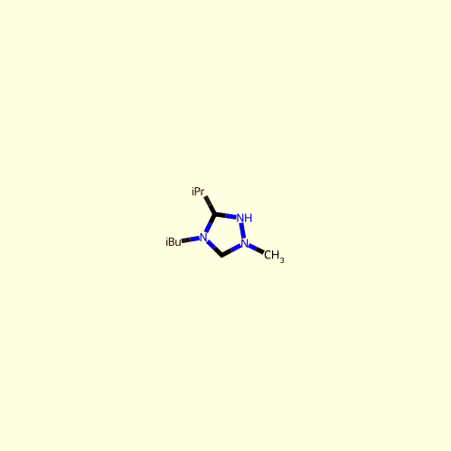 CCC(C)N1CN(C)NC1C(C)C